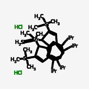 CC(C)c1cc(C(C)C)c2c(c1)[CH]([Zr]([CH3])([CH3])(=[SiH2])[CH]1C([Si](C)(C)C)=Cc3c(C(C)C)cc(C(C)C)cc31)C([Si](C)(C)C)=C2.Cl.Cl